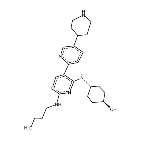 CCCCNc1ncc(-c2ccc(C3CCNCC3)cn2)c(N[C@H]2CC[C@H](O)CC2)n1